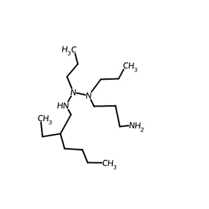 CCCCC(CC)CNN(CCC)N(CCC)CCCN